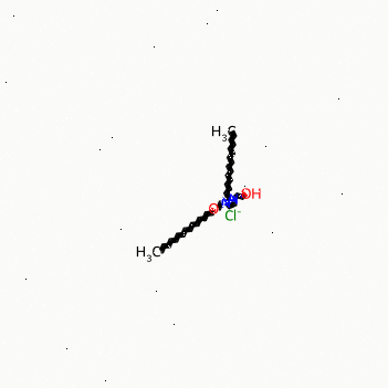 CCCCCCCCCCCCCCCCOCCN1CC[N+](CCO)=C1CCCCCCCCCCCCCCC.[Cl-]